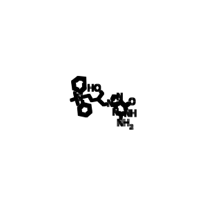 CC(C)(C)[Si](CCC(CO)Cn1cnc2c(=O)[nH]c(N)nc21)(c1ccccc1)c1ccccc1